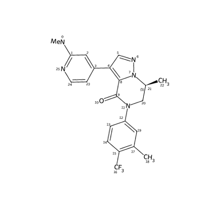 CNc1cc(-c2cnn3c2C(=O)N(c2ccc(C(F)(F)F)c(C)c2)C[C@@H]3C)ccn1